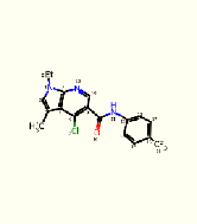 CCn1cc(C)c2c(Cl)c(C(=O)Nc3ccc(C(F)(F)F)cc3)cnc21